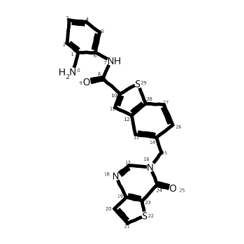 Nc1ccccc1NC(=O)c1cc2cc(Cn3cnc4ccsc4c3=O)ccc2s1